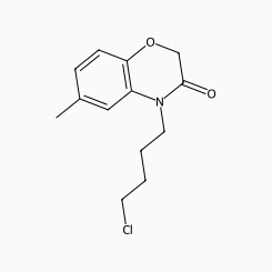 Cc1ccc2c(c1)N(CCCCCl)C(=O)CO2